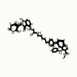 CNC(=O)c1cnc2ccc(-c3ccc(CCCCCNC(=O)CNc4cccc5c4C(=O)N(C4CCC(=O)NC4=O)C5=O)nc3)cc2c1Nc1ccccc1